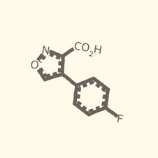 O=C(O)c1nocc1-c1ccc(F)cc1